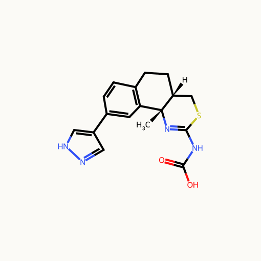 C[C@]12N=C(NC(=O)O)SC[C@H]1CCc1ccc(-c3cn[nH]c3)cc12